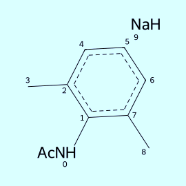 CC(=O)Nc1c(C)cccc1C.[NaH]